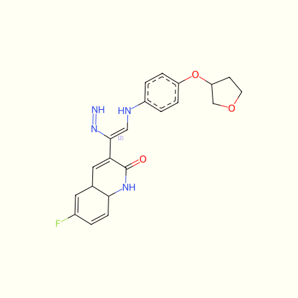 N=N/C(=C\Nc1ccc(OC2CCOC2)cc1)C1=CC2C=C(F)C=CC2NC1=O